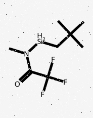 CN([SiH2]CC(C)(C)C)C(=O)C(F)(F)F